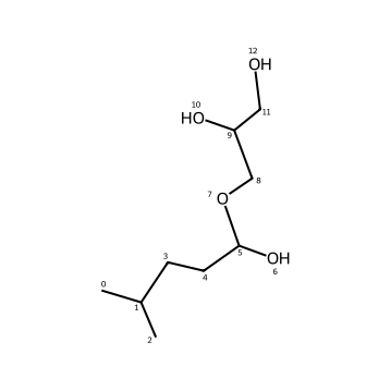 CC(C)CCC(O)OCC(O)CO